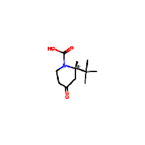 CC(C)(C)[C@]1(C)CC(=O)CCN1C(=O)O